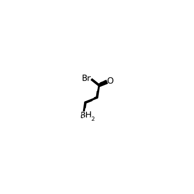 BCCC(=O)Br